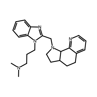 CN(C)CCCn1c(CN2CCC3CCc4cccnc4C32)nc2ccccc21